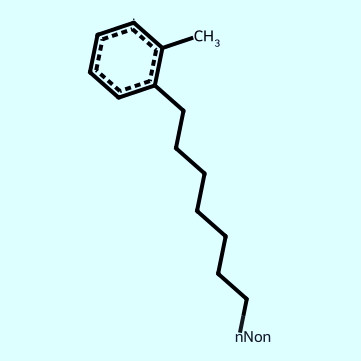 CCCCCCCCCCCCCCCCc1ccc[c]c1C